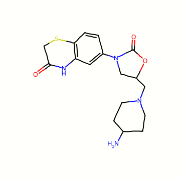 NC1CCN(CC2CN(c3ccc4c(c3)NC(=O)CS4)C(=O)O2)CC1